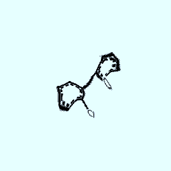 Clc1ccccc1-c1[c]cco1